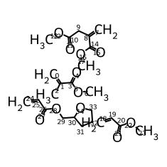 C=C(C)C(=O)OC.C=C(CC(=O)OC)C(=O)OC.C=CC(=O)OC.C=CC(=O)OCC1CCCO1